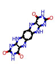 O=c1nc2[nH]c3cc4nc5c(=O)[nH]c(=O)nc-5[nH]c4cc3nc-2c(=O)[nH]1